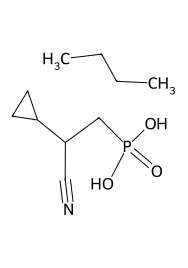 CCCC.N#CC(CP(=O)(O)O)C1CC1